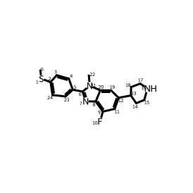 CSc1ccc(-c2nc3c(F)cc(C4CCNCC4)cc3n2C)cc1